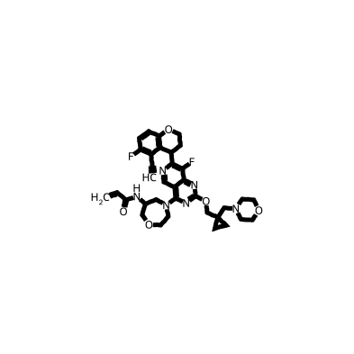 C#Cc1c(F)ccc2c1C(c1ncc3c(N4CCOCC(NC(=O)C=C)C4)nc(OCC4(CN5CCOCC5)CC4)nc3c1F)CCO2